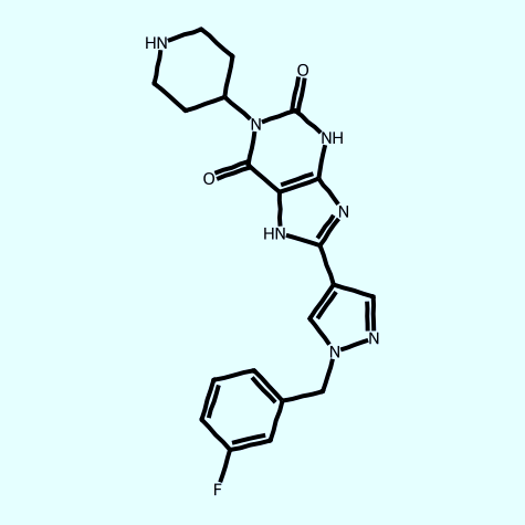 O=c1[nH]c2nc(-c3cnn(Cc4cccc(F)c4)c3)[nH]c2c(=O)n1C1CCNCC1